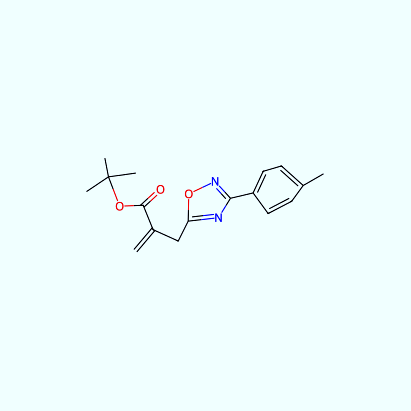 C=C(Cc1nc(-c2ccc(C)cc2)no1)C(=O)OC(C)(C)C